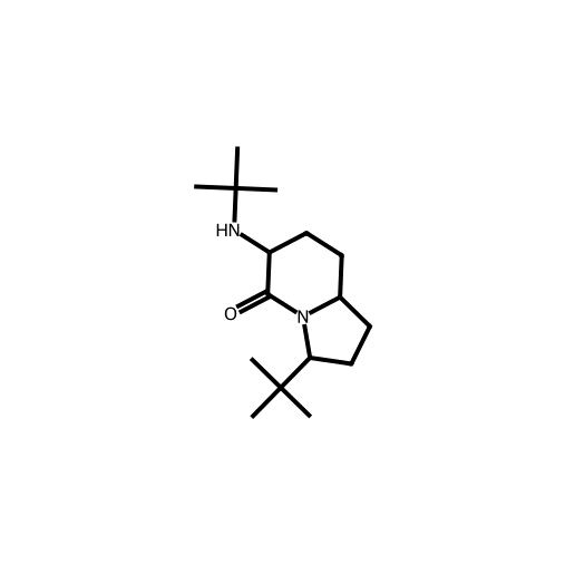 CC(C)(C)NC1CCC2CCC(C(C)(C)C)N2C1=O